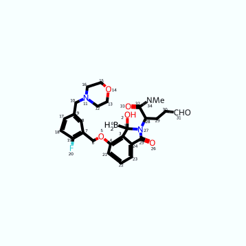 BC1(O)c2c(OCc3cc(CN4CCOCC4)ccc3F)cccc2C(=O)N1C(CCC=O)C(=O)NC